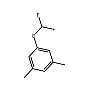 [CH2]c1cc(C)cc(OC(F)F)c1